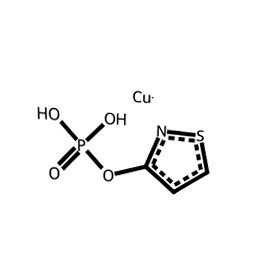 O=P(O)(O)Oc1ccsn1.[Cu]